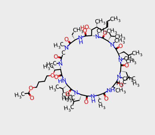 C/C=C/C[C@@H](C)[C@@H](O)[C@H]1C(=O)N[C@@H](CC)C(=O)N(C)CC(=O)N(C)[C@@H]([C@@H](C)OCCCCOC(C)=O)C(=O)N[C@@H](C(C)C)C(=O)N(C)[C@@H](CC(C)C)C(=O)N[C@@H](C)C(=O)N[C@H](C)C(=O)N(C)[C@@H](CC(C)C)C(=O)N(C)[C@H](CC(C)C)C(=O)N(C)[C@@H](C(C)C)C(=O)N1C